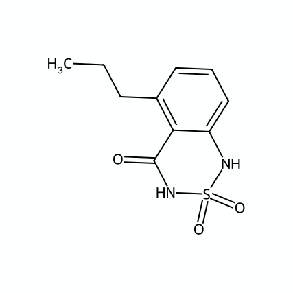 CCCc1cccc2c1C(=O)NS(=O)(=O)N2